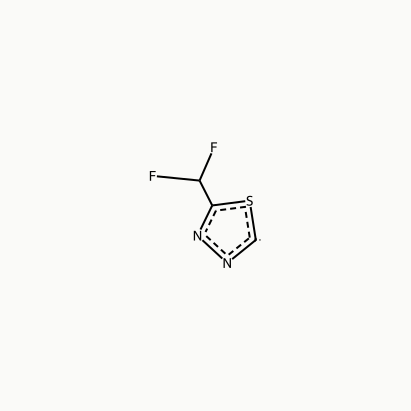 FC(F)c1nn[c]s1